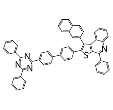 c1ccc(-c2nc(-c3ccccc3)nc(-c3ccc(-c4ccc(-c5sc6c(-c7ccccc7)nc7ccccc7c6c5-c5ccc6ccccc6c5)cc4)cc3)n2)cc1